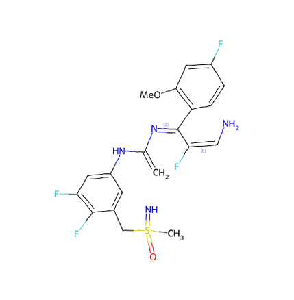 C=C(/N=C(\C(F)=C/N)c1ccc(F)cc1OC)Nc1cc(F)c(F)c(CS(C)(=N)=O)c1